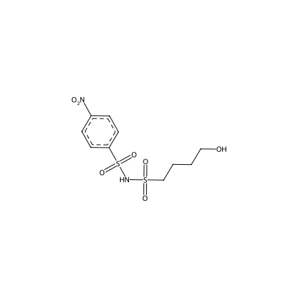 O=[N+]([O-])c1ccc(S(=O)(=O)NS(=O)(=O)CCCCO)cc1